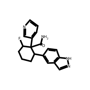 NC(=O)C1(c2cccnc2)C(F)CCCC1c1ccc2[nH]ncc2c1